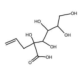 C=CCC(O)(C(=O)O)C(O)C(O)C(O)CO